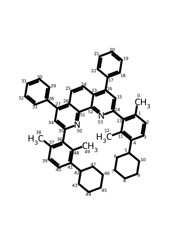 Cc1ccc(C2CCCCC2)c(C)c1-c1cc(-c2ccccc2)c2ccc3c(-c4ccccc4)cc(-c4c(C)ccc(C5CCCCC5)c4C)nc3c2n1